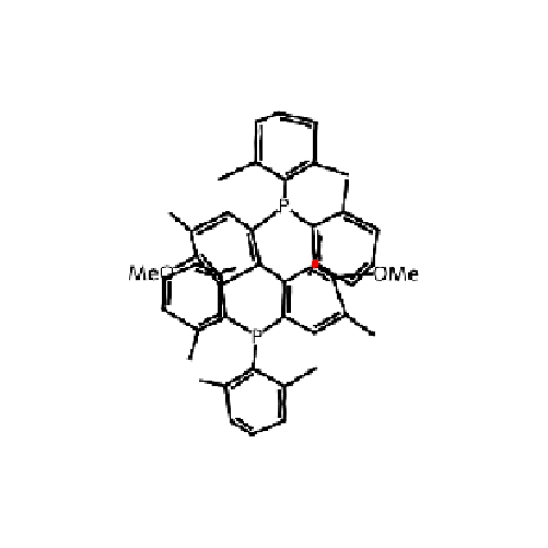 COc1c(C)cc(P(c2c(C)cccc2C)c2c(C)cccc2C)c(-c2c(P(c3c(C)cccc3C)c3c(C)cccc3C)cc(C)c(OC)c2C)c1C